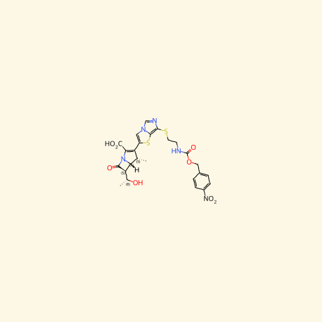 C[C@@H](O)[C@H]1C(=O)N2C(C(=O)O)=C(c3cn4cnc(SCCNC(=O)OCc5ccc([N+](=O)[O-])cc5)c4s3)[C@H](C)[C@H]12